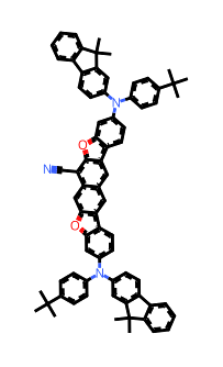 CC(C)(C)c1ccc(N(c2ccc3c(c2)C(C)(C)c2ccccc2-3)c2ccc3c(c2)oc2cc4c(C#N)c5oc6cc(N(c7ccc(C(C)(C)C)cc7)c7ccc8c(c7)C(C)(C)c7ccccc7-8)ccc6c5cc4cc23)cc1